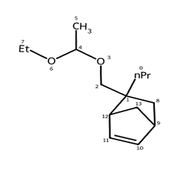 CCCC1(COC(C)OCC)CC2C=CC1C2